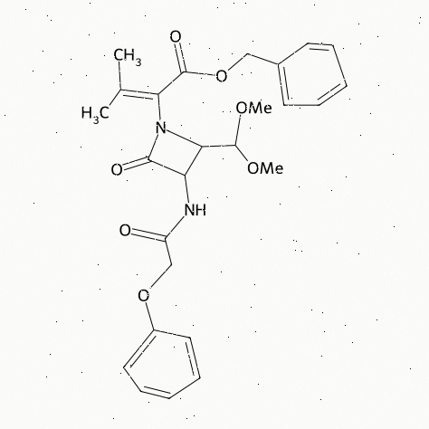 COC(OC)C1C(NC(=O)COc2ccccc2)C(=O)N1C(C(=O)OCc1ccccc1)=C(C)C